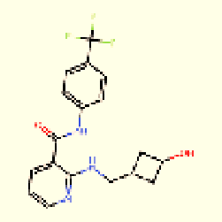 O=C(Nc1ccc(C(F)(F)F)cc1)c1cccnc1NCC1CC(O)C1